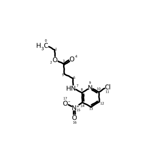 CCOC(=O)CCNc1nc(Cl)ccc1[N+](=O)[O-]